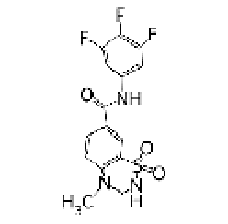 CN1CNS(=O)(=O)c2cc(C(=O)Nc3cc(F)c(F)c(F)c3)ccc21